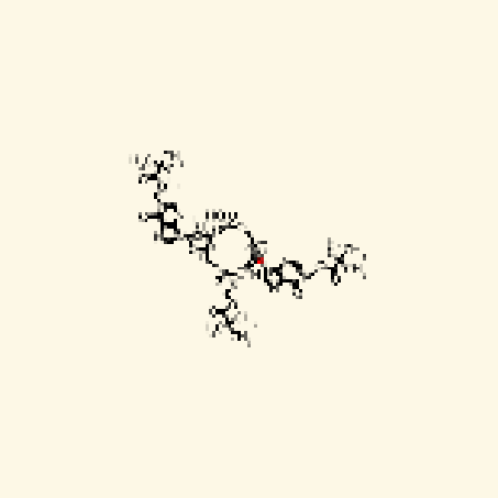 CC(C)(C)C(=O)OCSP1(=O)OC[C@H]2O[C@@H](n3cnc4c(=O)n(COC(=O)C(C)(C)C)cnc43)[C@H](F)[C@@H]2OP(=O)(O)OC[C@H]2O[C@@H](n3cnc4c(=O)n(COC(=O)C(C)(C)C)cnc43)[C@H](O1)[C@H]2F